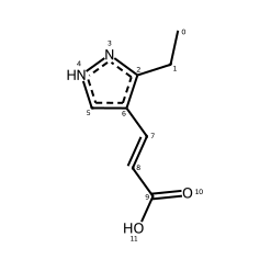 CCc1n[nH]cc1C=CC(=O)O